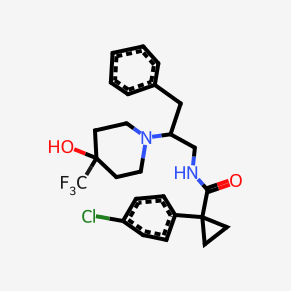 O=C(NCC(Cc1ccccc1)N1CCC(O)(C(F)(F)F)CC1)C1(c2ccc(Cl)cc2)CC1